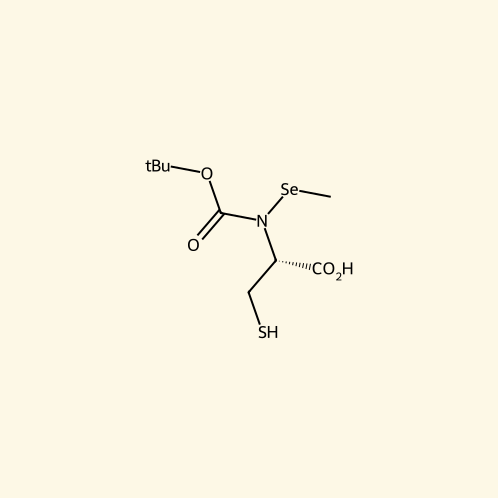 C[Se]N(C(=O)OC(C)(C)C)[C@@H](CS)C(=O)O